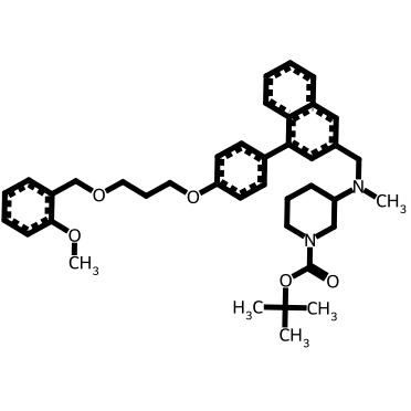 COc1ccccc1COCCCOc1ccc(-c2cc(CN(C)C3CCCN(C(=O)OC(C)(C)C)C3)cc3ccccc23)cc1